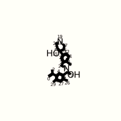 C=C(C)c1cc(C(O)N2Cc3ccc(C4(O)CCN(C)CC4)cc3C2)c(C)cc1C